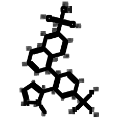 Cn1nccc1-c1cc(C(F)(F)F)ccc1-c1cccc2cc(S(=O)(=O)O)ccc12